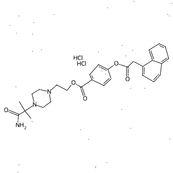 CC(C)(C(N)=O)N1CCN(CCOC(=O)c2ccc(OC(=O)Cc3cccc4ccccc34)cc2)CC1.Cl.Cl